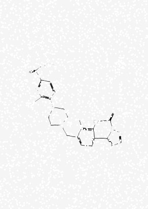 CNC(=O)c1ccc(N2CCN(Cc3ccc4c([nH]c(=O)n5nccc45)c3F)CC2)c(C)n1